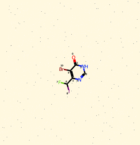 O=c1[nH]cnc(C(F)I)c1Br